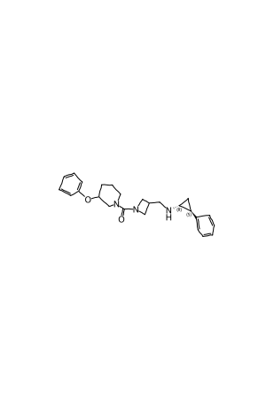 O=C(N1CC(CN[C@@H]2C[C@H]2c2ccccc2)C1)N1CCCC(Oc2ccccc2)C1